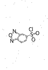 O=S(=O)(Cl)c1ccc2nonc2c1